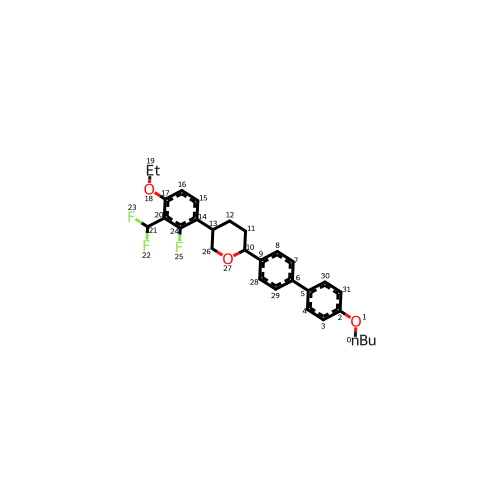 CCCCOc1ccc(-c2ccc(C3CCC(c4ccc(OCC)c(C(F)F)c4F)CO3)cc2)cc1